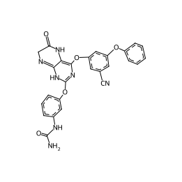 N#Cc1cc(OC2=C3NC(=O)CN=C3NC(Oc3cccc(NC(N)=O)c3)=N2)cc(Oc2ccccc2)c1